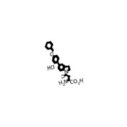 Cl.NC(CC(=O)N1CCc2cc(-c3ccc(OCC4CCCCC4)cc3)ccc21)C(=O)O